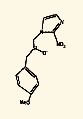 COc1ccc(C[S+]([O-])Cn2ccnc2[N+](=O)[O-])cc1